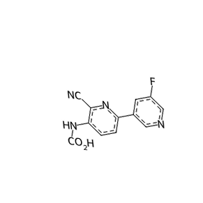 N#Cc1nc(-c2cncc(F)c2)ccc1NC(=O)O